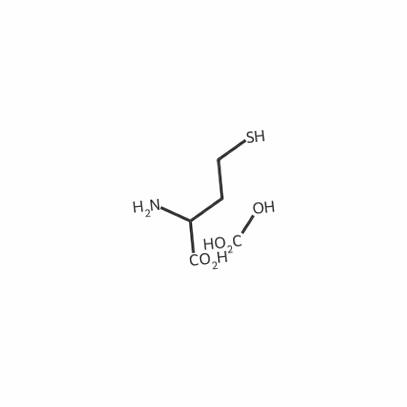 NC(CCS)C(=O)O.O=C(O)O